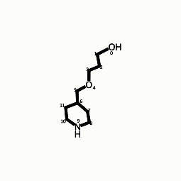 OCCCOCC1CCNCC1